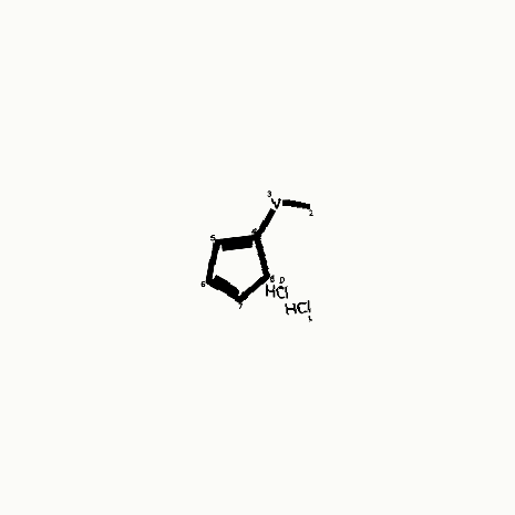 Cl.Cl.[CH3][V][C]1=CC=CC1